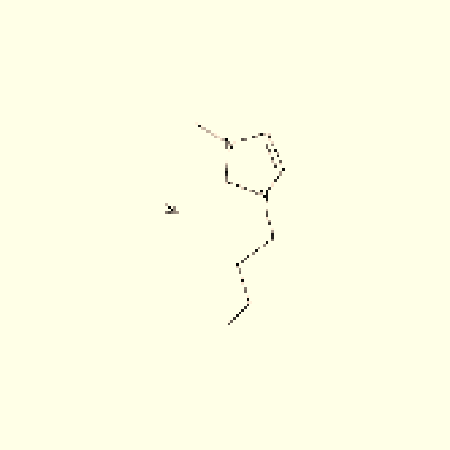 CCCCN1C=CN(C)C1.[Si]